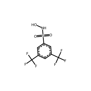 O=S(=O)(NO)c1cc(C(F)(F)F)cc(C(F)(F)F)c1